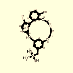 CS(=N)(=N)Cc1cc2cc(c1)OCCOCOc1c(F)cccc1-c1nc(ncc1F)N2